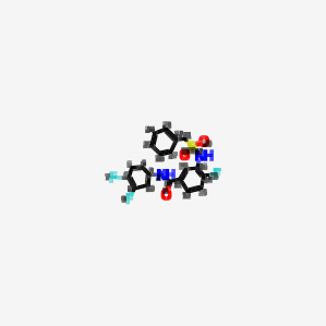 O=C(Nc1ccc(F)c(F)c1)c1ccc(F)c(NS(=O)(=O)Cc2ccccc2)c1